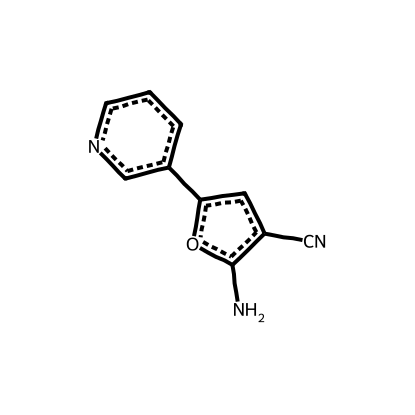 N#Cc1cc(-c2cccnc2)oc1N